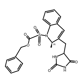 C[C@@H]1C(CC2NC(=O)NC2=O)=Cc2ccccc2N1S(=O)(=O)C(=O)OCc1ccccc1